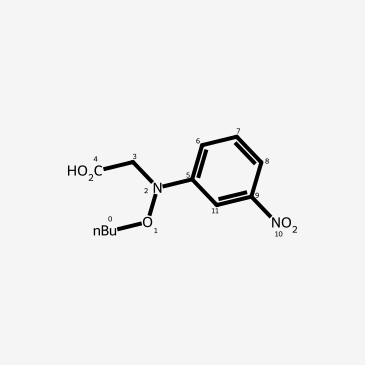 CCCCON(CC(=O)O)c1cccc([N+](=O)[O-])c1